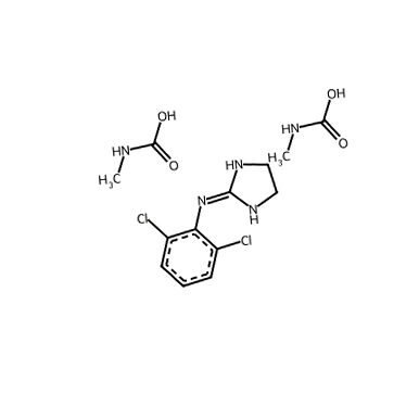 CNC(=O)O.CNC(=O)O.Clc1cccc(Cl)c1N=C1NCCN1